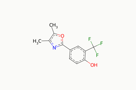 Cc1nc(-c2ccc(O)c(C(F)(F)F)c2)oc1C